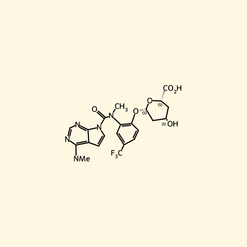 CNc1ncnc2c1ccn2C(=O)N(C)c1cc(C(F)(F)F)ccc1O[C@H]1C[C@@H](O)C[C@@H](C(=O)O)O1